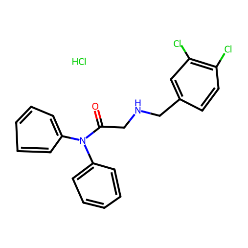 Cl.O=C(CNCc1ccc(Cl)c(Cl)c1)N(c1ccccc1)c1ccccc1